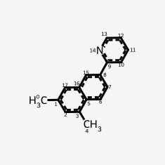 Cc1cc(C)c2ccc(-c3ccccn3)cc2c1